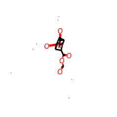 O=COC(=O)C1C2C(=O)OC(=O)C3CC2C31